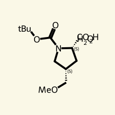 COC[C@H]1C[C@@H](C(=O)O)N(C(=O)OC(C)(C)C)C1.O